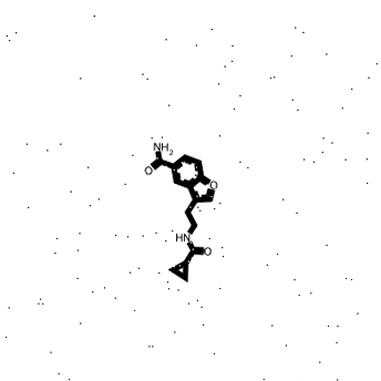 NC(=O)c1ccc2occ(CCNC(=O)C3CC3)c2c1